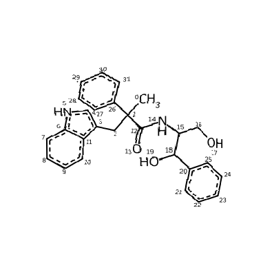 CC(Cc1c[nH]c2ccccc12)(C(=O)NC(CO)C(O)c1ccccc1)c1cc[c]cc1